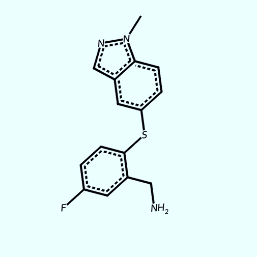 Cn1ncc2cc(Sc3ccc(F)cc3CN)ccc21